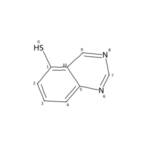 Sc1cccc2ncncc12